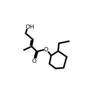 CCC1CCCCC1OC(=O)C(C)=CCO